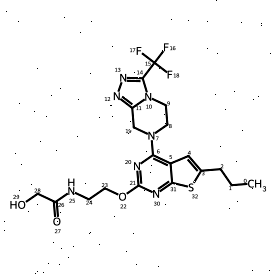 CCCc1cc2c(N3CCn4c(nnc4C(F)(F)F)C3)nc(OCCNC(=O)CO)nc2s1